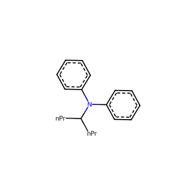 CCCC(CCC)N(c1ccccc1)c1ccccc1